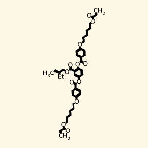 C=CC(=O)OCCCCCCOc1ccc(C(=O)Oc2ccc(OC(=O)c3ccc(OCCCCCCOC(=O)C=C)cc3)c(C(=O)OC/C(=C/C)CC)c2)cc1